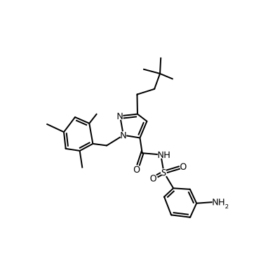 Cc1cc(C)c(Cn2nc(CCC(C)(C)C)cc2C(=O)NS(=O)(=O)c2cccc(N)c2)c(C)c1